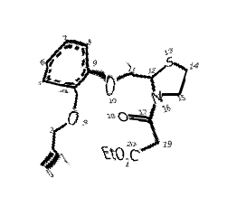 C=CCOc1ccccc1OCC1SCCN1C(=O)CC(=O)OCC